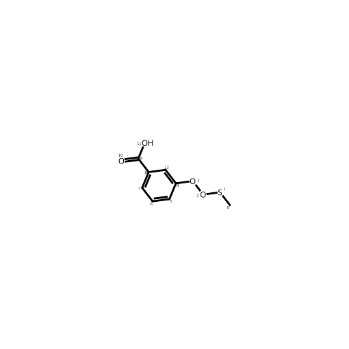 CSOOc1cccc(C(=O)O)c1